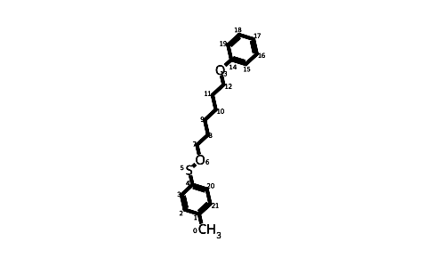 Cc1ccc(SOCCCCCCOc2ccccc2)cc1